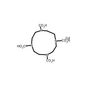 O=C(O)N1CCN(C(=O)O)CCN(C(=O)O)CCN(C(=O)O)CC1.[Gd]